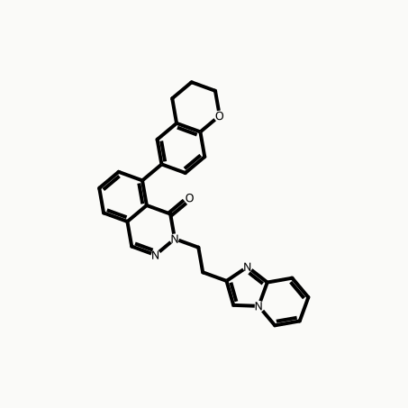 O=c1c2c(-c3ccc4c(c3)CCCO4)cccc2cnn1CCc1cn2ccccc2n1